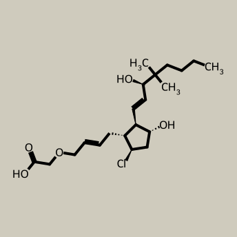 CCCCC(C)(C)[C@H](O)C=C[C@@H]1[C@@H](CC=CCOCC(=O)O)[C@H](Cl)C[C@H]1O